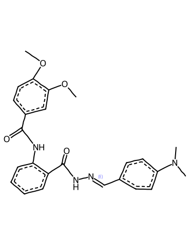 COc1ccc(C(=O)Nc2ccccc2C(=O)N/N=C/c2ccc(N(C)C)cc2)cc1OC